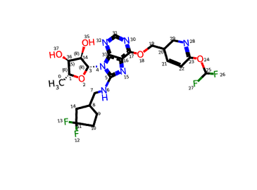 C[C@H]1O[C@@H](n2c(NCC3CCC(F)(F)C3)nc3c(OCC4C=CC(OC(F)F)=NC4)ncnc32)[C@H](O)[C@@H]1O